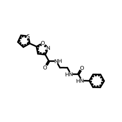 O=C(NCCNC(=O)c1cc(-c2cccs2)on1)Nc1ccccc1